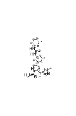 Cc1cc(Nc2nc(N3CCC[C@@H](NC(=O)NC4CCCCC4)C3)cnc2C(N)=O)sn1